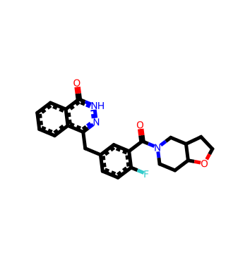 O=C(c1cc(Cc2n[nH]c(=O)c3ccccc23)ccc1F)N1CCC2OCCC2C1